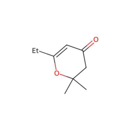 CCC1=CC(=O)CC(C)(C)O1